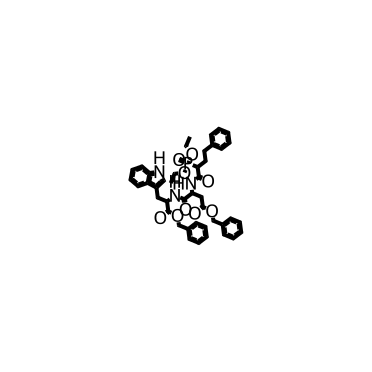 CCOP(=O)(OCC)C(CCc1ccccc1)C(=O)NC(CC(=O)OCc1ccccc1)C(=O)NC(Cc1c[nH]c2ccccc12)C(=O)OCc1ccccc1